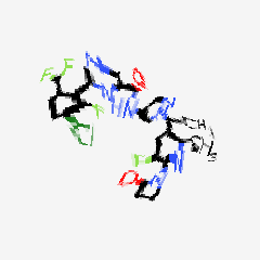 Cc1nc(N2CCCC2=O)c(F)cc1C(C)n1cc(NC(=O)c2cncc(-c3c(C(F)F)ccc(Cl)c3F)n2)cn1